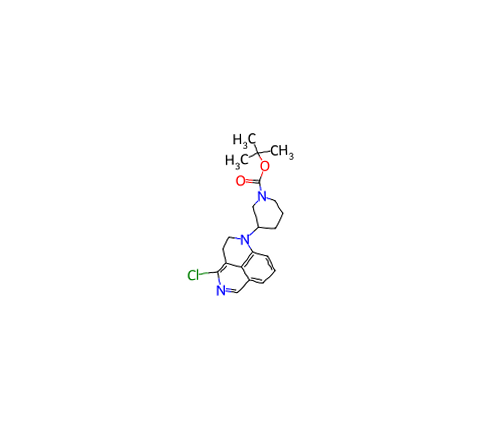 CC(C)(C)OC(=O)N1CCCC(N2CCc3c(Cl)ncc4cccc2c34)C1